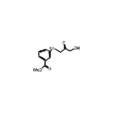 COC(=O)c1cccc(NCC(=O)CO)c1